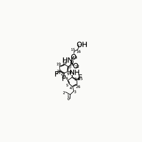 CC(C)Cc1ccc(Nc2c(C(=O)NOCCO)ccc(F)c2F)c(F)c1